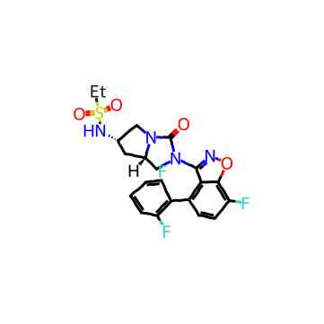 CCS(=O)(=O)N[C@H]1C[C@H]2CN(c3noc4c(F)ccc(-c5c(F)cccc5F)c34)C(=O)N2C1